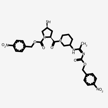 CC(=NC(=O)OCc1ccc([N+](=O)[O-])cc1)NC1CCCN(C(=O)[C@@H]2C[C@H](S)CN2C(=O)OCc2ccc([N+](=O)[O-])cc2)C1